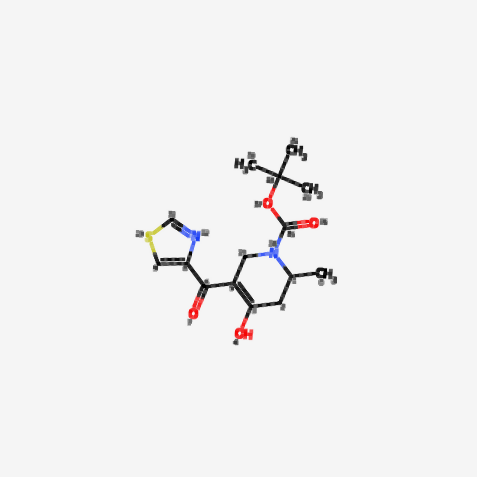 CC1CC(O)=C(C(=O)c2cscn2)CN1C(=O)OC(C)(C)C